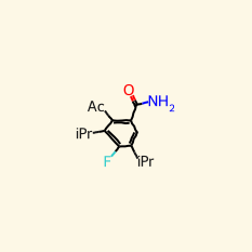 CC(=O)c1c(C(N)=O)cc(C(C)C)c(F)c1C(C)C